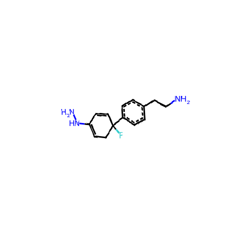 NCCc1ccc(C2(F)C=CC(NN)=CC2)cc1